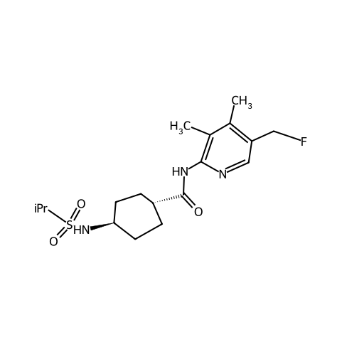 Cc1c(CF)cnc(NC(=O)[C@H]2CC[C@H](NS(=O)(=O)C(C)C)CC2)c1C